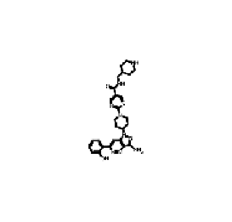 Nc1nn(C2CCN(c3ncc(C(=O)NCC4CCNCC4)cn3)CC2)c2cc(-c3ccccc3O)nnc12